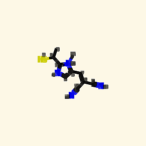 CC(S)c1ncc(C=C(C#N)C#N)n1C